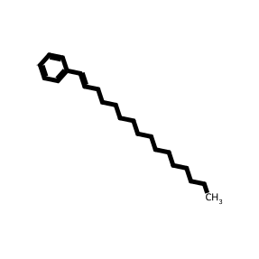 CCCCCCCCCCCCCCC=Cc1cc[c]cc1